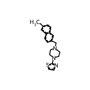 Cc1ccc2cc(CN3CCN(c4nccs4)CC3)ccc2c1